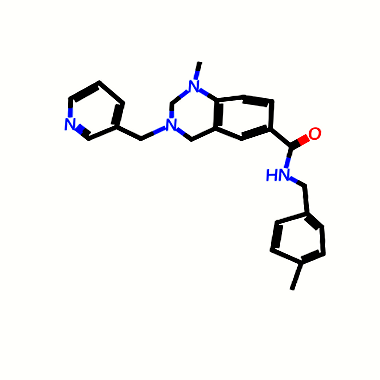 Cc1ccc(CNC(=O)c2ccc3c(c2)CN(Cc2cccnc2)CN3C)cc1